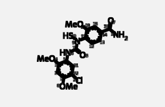 COc1cc(OC)c(NC(=O)N(S)c2ccc(C(N)=O)cc2OC)cc1Cl